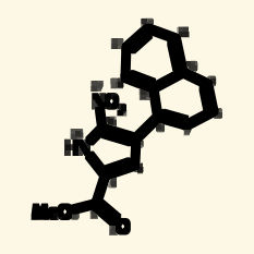 COC(=O)c1cc(-c2cccc3ccccc23)c([N+](=O)[O-])[nH]1